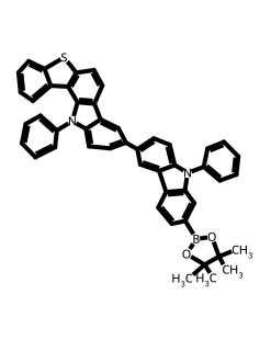 CC1(C)OB(c2ccc3c4cc(-c5ccc6c(c5)c5ccc7sc8ccccc8c7c5n6-c5ccccc5)ccc4n(-c4ccccc4)c3c2)OC1(C)C